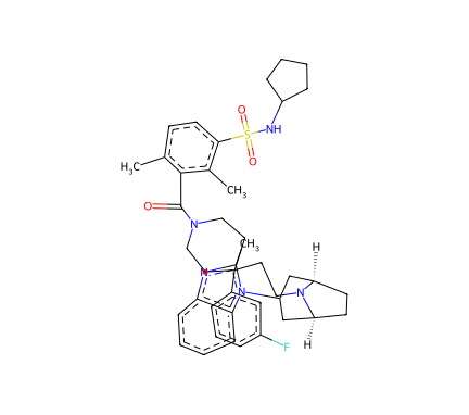 Cc1ccc(S(=O)(=O)NC2CCCC2)c(C)c1C(=O)N1CCC(CCN2[C@@H]3CC[C@H]2CC(n2c(C)nc4ccccc42)C3)(c2cccc(F)c2)CC1